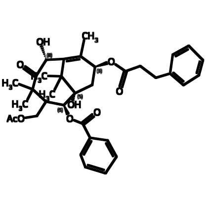 CC(=O)OCC1[C@H](OC(=O)c2ccccc2)[C@]2(O)C[C@H](OC(=O)CCc3ccccc3)C(C)=C([C@@H](O)C(=O)C1(C)C)C2(C)C